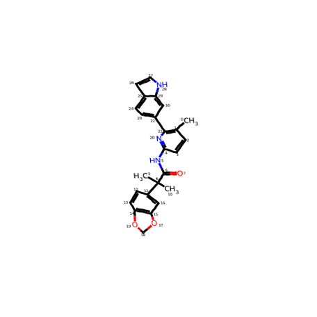 Cc1ccc(NC(=O)C(C)(C)c2ccc3c(c2)OCO3)nc1-c1ccc2cc[nH]c2c1